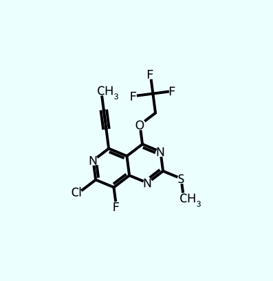 CC#Cc1nc(Cl)c(F)c2nc(SC)nc(OCC(F)(F)F)c12